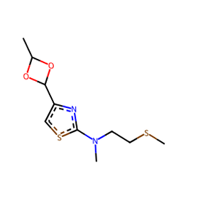 CSCCN(C)c1nc(C2OC(C)O2)cs1